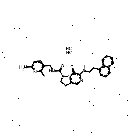 Cc1nc(N)ccc1CNC(=O)[C@@H]1CCc2cnc(NCCc3cccc4ccccc34)c(=O)n21.Cl.Cl